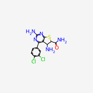 NC(=O)C1Sc2nc(N)nc(-c3ccc(Cl)c(Cl)c3)c2C1N